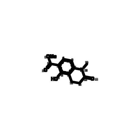 COC(=O)c1ccc2c(c1O)CCC(=O)N2C